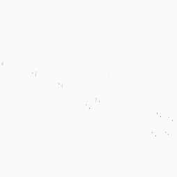 CC(C)S(=O)(=O)N1CCN(c2cnn(-c3ccc(-c4nn[nH]n4)cc3)c(=O)c2OC2CCCC2)CC1